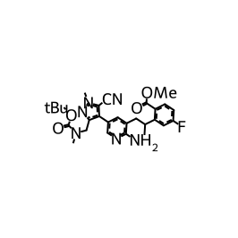 COC(=O)c1ccc(F)cc1C(C)Cc1cc(-c2c(CN(C)C(=O)OC(C)(C)C)nn(C)c2C#N)cnc1N